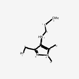 COSCNc1c(CC(C)C)nn(C)c1C